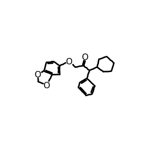 O=C(COc1ccc2c(c1)OCO2)C(c1ccccc1)C1CCCCC1